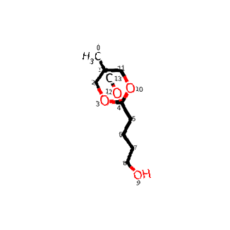 CC12COC(CCCCO)(OC1)OC2